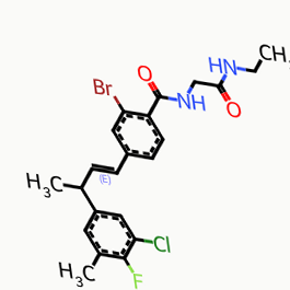 CCNC(=O)CNC(=O)c1ccc(/C=C/C(C)c2cc(C)c(F)c(Cl)c2)cc1Br